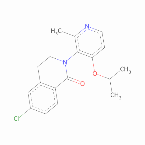 Cc1nccc(OC(C)C)c1N1CCc2cc(Cl)ccc2C1=O